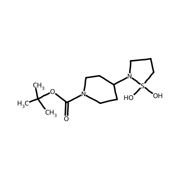 CC(C)(C)OC(=O)N1CCC(N2CCCS2(O)O)CC1